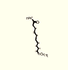 [CH2]CCC(=O)CCCCCCCCCCCCCCCCC